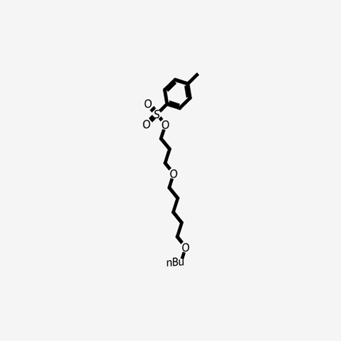 CCCCOCCCCCOCCCOS(=O)(=O)c1ccc(C)cc1